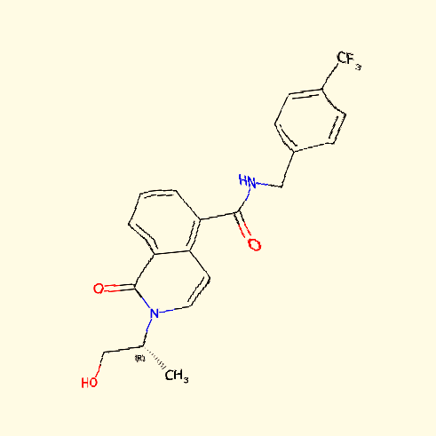 C[C@H](CO)n1ccc2c(C(=O)NCc3ccc(C(F)(F)F)cc3)cccc2c1=O